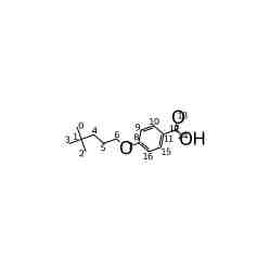 CC(C)(C)CCCOc1ccc(C(=O)O)cc1